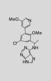 COc1cncc(-c2cc(Cl)cc(C(C)Nc3ncnc4[nH]cnc34)c2OC)c1